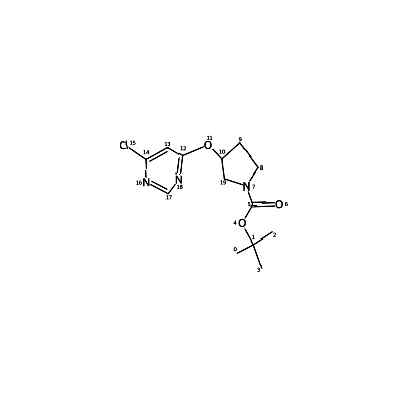 CC(C)(C)OC(=O)N1CCC(Oc2cc(Cl)ncn2)C1